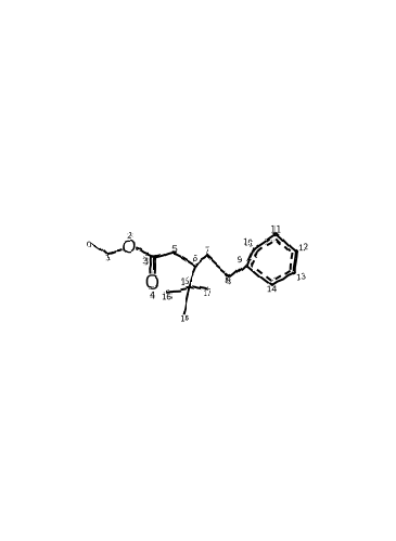 CCOC(=O)CC(CCc1ccccc1)C(C)(C)C